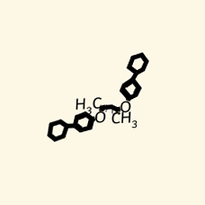 C[C@@H](C[C@H](C)Oc1ccc(C2CCCCC2)cc1)Oc1ccc(C2CCCCC2)cc1